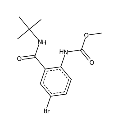 COC(=O)Nc1ccc(Br)cc1C(=O)NC(C)(C)C